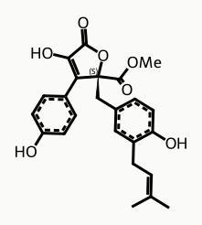 COC(=O)[C@@]1(Cc2ccc(O)c(CC=C(C)C)c2)OC(=O)C(O)=C1c1ccc(O)cc1